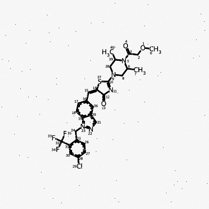 COCC(=O)N1C(C)CN(C2=NC(=O)C(=Cc3ccc4c(cnn4Cc4ccc(Cl)cc4C(F)(F)F)c3)S2)CC1C